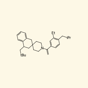 C=C(c1ccc(CC(C)C)c(CC)c1)N1CCC2(CC1)Cc1ccccc1C(CC(C)(C)C)C2